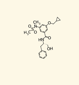 CN(c1cc(OCC2CC2)cc(C(=O)N[C@H](CO)Cc2ccccc2)c1)S(C)(=O)=O